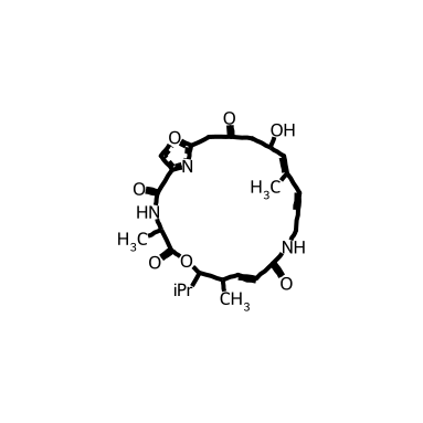 CC1=C\C(O)CC(=O)Cc2nc(co2)C(=O)NC(C)C(=O)OC(C(C)C)C(C)/C=C/C(=O)NC\C=C\1